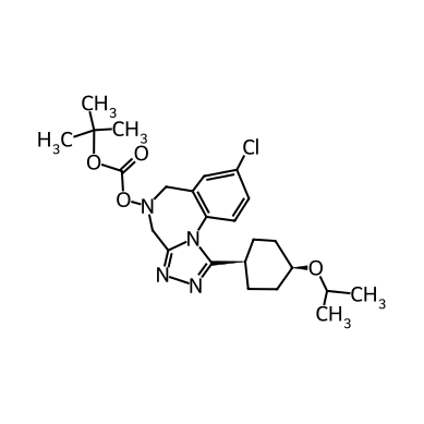 CC(C)O[C@H]1CC[C@@H](c2nnc3n2-c2ccc(Cl)cc2CN(OC(=O)OC(C)(C)C)C3)CC1